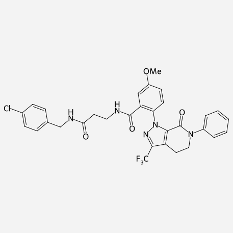 COc1ccc(-n2nc(C(F)(F)F)c3c2C(=O)N(c2ccccc2)CC3)c(C(=O)NCCC(=O)NCc2ccc(Cl)cc2)c1